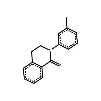 Cc1cccc(N2CCc3ccccc3C2=S)c1